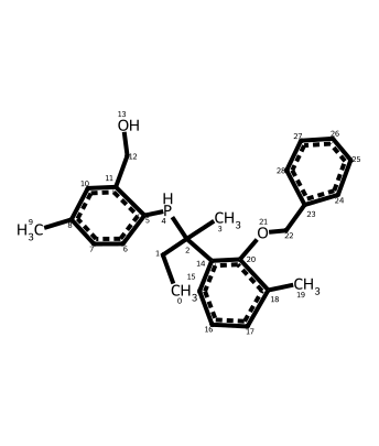 CCC(C)(Pc1ccc(C)cc1CO)c1cccc(C)c1OCc1ccccc1